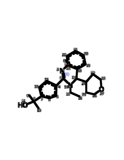 CC/N=C(/c1ccc(C(C)(C)O)cc1)N(CC)C(c1ccccc1)C1CCOCC1